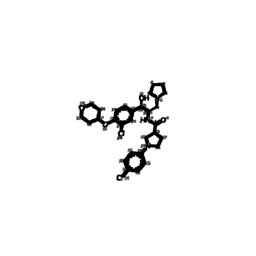 O=C(N[C@H](CN1CCCC1)[C@H](O)c1ccc(OC2CCOCC2)c(Cl)c1)C1CCN(c2ccc(Cl)cc2)C1